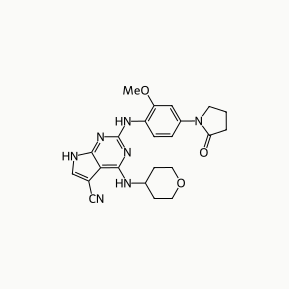 COc1cc(N2CCCC2=O)ccc1Nc1nc(NC2CCOCC2)c2c(C#N)c[nH]c2n1